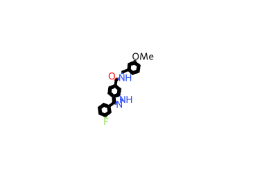 COc1cccc(CNC(=O)c2ccc3c(-c4cccc(F)c4)n[nH]c3c2)c1